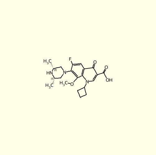 COc1c(N2C[C@@H](C)N[C@@H](C)C2)c(F)cc2c(=O)c(C(=O)O)cn(C3CCC3)c12